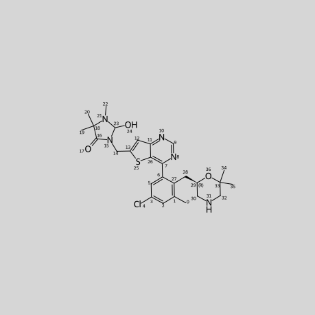 Cc1cc(Cl)cc(-c2ncnc3cc(CN4C(=O)C(C)(C)N(C)C4O)sc23)c1C[C@@H]1CNCC(C)(C)O1